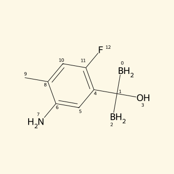 BC(B)(O)c1cc(N)c(C)cc1F